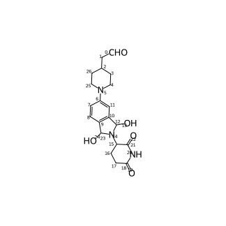 O=CCC1CCN(c2ccc3c(c2)C(O)N(C2CCC(=O)NC2=O)C3O)CC1